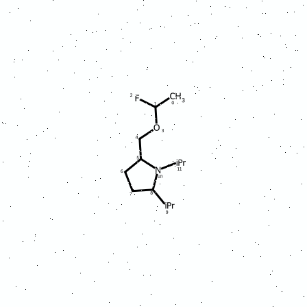 CC(F)OCC1CCC(C(C)C)N1C(C)C